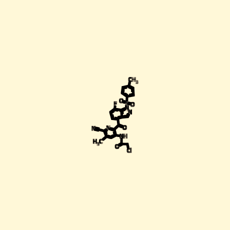 Cc1ccc(S(=O)(=O)n2ncc3c(C(=O)c4nc(C#N)c(C)cc4NC(=O)CCl)ccc(F)c32)cc1